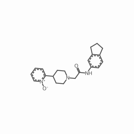 O=C(CN1CCC(c2cccc[n+]2[O-])CC1)Nc1ccc2c(c1)CCC2